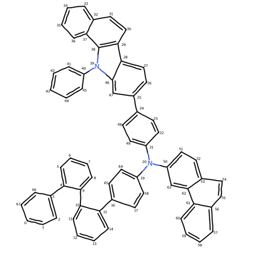 c1ccc(-c2ccccc2-c2ccccc2-c2ccc(N(c3ccc(-c4ccc5c6ccc7ccccc7c6n(-c6ccccc6)c5c4)cc3)c3ccc4ccc5ccccc5c4c3)cc2)cc1